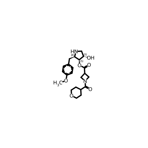 COc1ccc(C[C@H]2NC[C@H](O)[C@H]2OC(=O)C2CN(C(=O)C3CCOCC3)C2)cc1